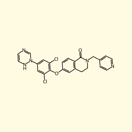 O=C1c2ccc(Oc3c(Cl)cc(N4C=NC=CN4)cc3Cl)cc2CCN1Cc1ccncc1